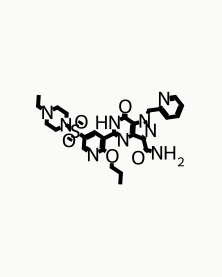 CCCOc1ncc(S(=O)(=O)N2CCN(CC)CC2)cc1-c1nc2c(C(N)=O)nn(Cc3ccccn3)c2c(=O)[nH]1